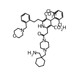 NCC1(CN2CCN(C(=O)CC3=C(C(=O)O)C(c4c(Cl)cccc4Cl)C(C(=O)O)=C(CCc4ccccc4CN4CCOCC4)N3)CC2)CCCCC1